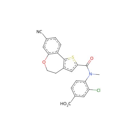 CN(C(=O)c1cc2c(s1)-c1ccc(C#N)cc1OCC2)c1ccc(C(=O)O)cc1Cl